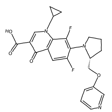 O=C(O)c1cn(C2CC2)c2c(F)c(N3CCC[C@@H]3COc3cccnc3)c(F)cc2c1=O